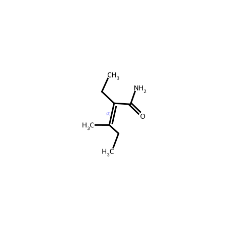 CC/C(C)=C(/CC)C(N)=O